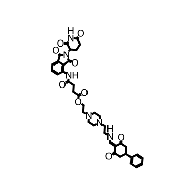 O=C1CCC(N2C(=O)c3cccc(NC(=O)CCC(=O)OCCN4CCN(CCNC=C5C(=O)CC(c6ccccc6)CC5=O)CC4)c3C2=O)C(=O)N1